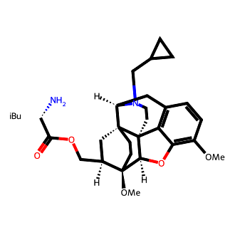 CC[C@H](C)[C@H](N)C(=O)OC[C@H]1C[C@@]23CC[C@]1(OC)[C@@H]1Oc4c(OC)ccc5c4[C@@]12CCN(CC1CC1)[C@@H]3C5